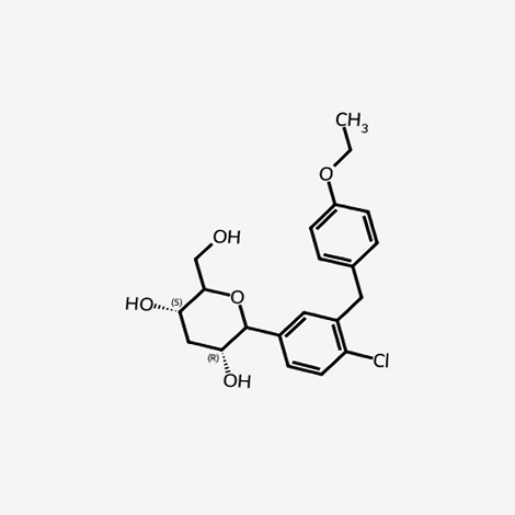 CCOc1ccc(Cc2cc(C3OC(CO)[C@@H](O)C[C@H]3O)ccc2Cl)cc1